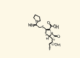 N=C(CSC1=C(C(=O)O)N2C(=O)[C@H]([C@H](O)CF)[C@H]2S1)N1CCCC1